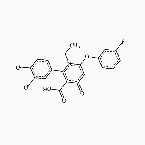 CCn1c(Oc2cccc(F)c2)cc(=O)c(C(=O)O)c1-c1ccc(Cl)c(Cl)c1